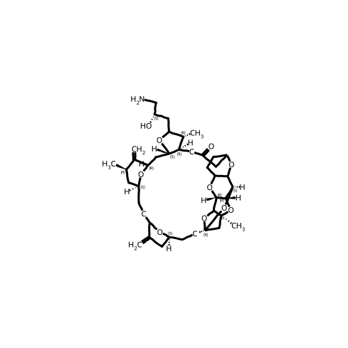 C=C1C[C@@H]2CC[C@@]34C[C@]5(C)O[C@H]6[C@@H](O3)C3OC(CCC3O[C@H]6C5O4)CC(=O)C[C@H]3[C@H](C[C@H]4O[C@@H](CCC1O2)C[C@@H](C)C4=C)OC(C[C@H](O)CN)[C@@H]3C